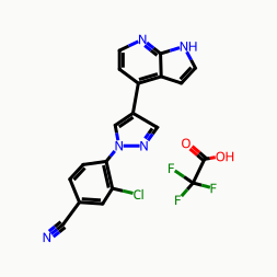 N#Cc1ccc(-n2cc(-c3ccnc4[nH]ccc34)cn2)c(Cl)c1.O=C(O)C(F)(F)F